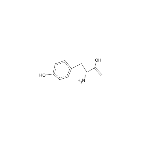 C=C(O)[C@H](N)Cc1ccc(O)cc1